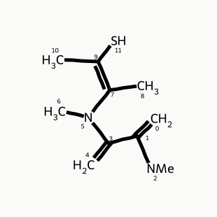 C=C(NC)C(=C)N(C)/C(C)=C(\C)S